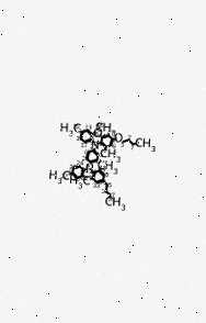 CCCCOc1cc(C)c(N(c2ccc(C)cc2)c2ccc(N(c3ccc(C)cc3)c3c(C)cc(CCCC)cc3C)cc2)c(OC)c1